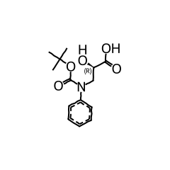 CC(C)(C)OC(=O)N(C[C@@H](O)C(=O)O)c1ccccc1